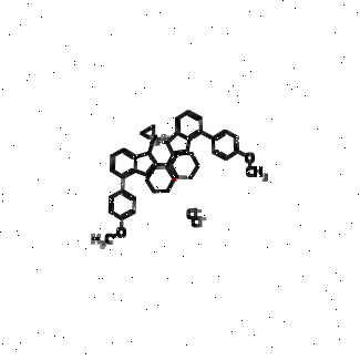 COc1ccc(-c2cccc3c2C=C(C2CCCCC2)[CH]3[Zr+2]2([CH]3C(C4CCCCC4)=Cc4c(-c5ccc(OC)cc5)cccc43)[CH2][CH2]2)cc1.[Cl-].[Cl-]